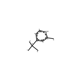 Cc1cc(C(C)(C)C)ccn1